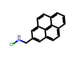 ClNCc1cc2ccc3cccc4ccc(c1)c2c34